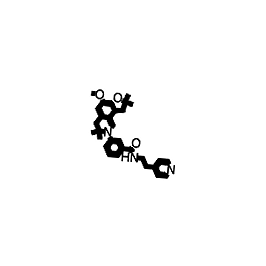 COC1=C2OC(C)(C)CC2C2=CN(c3cccc(C(=O)NCCc4ccncc4)c3)C(C)(C)CC2=C1